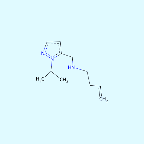 C=CCCNCc1ccnn1C(C)C